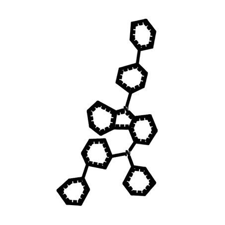 c1ccc(-c2ccc(-n3c4ccccc4c4c(N(c5ccccc5)c5cccc(-c6ccccc6)c5)cccc43)cc2)cc1